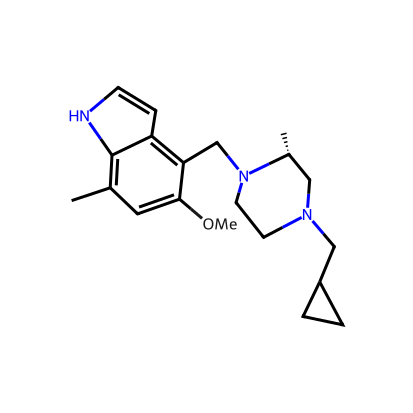 COc1cc(C)c2[nH]ccc2c1CN1CCN(CC2CC2)C[C@H]1C